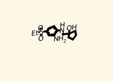 CCS(=O)(=O)c1ccc(NCC2(O)CCCC2)c(N)c1